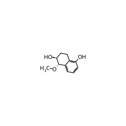 CO[C@H]1c2cccc(O)c2CC[C@@H]1O